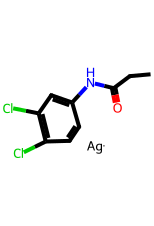 CCC(=O)Nc1ccc(Cl)c(Cl)c1.[Ag]